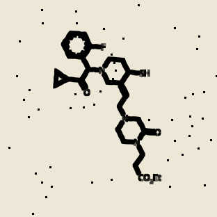 CCOC(=O)CCN1CCN(C/C=C2\CN(C(C(=O)C3CC3)c3ccccc3F)CCC2S)CC1=O